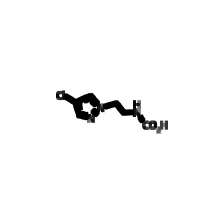 O=C(O)NCCn1cc(Cl)cn1